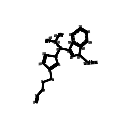 C=CCCCC1=CC(B(C2=CC(CCCCCC)c3ccccc32)N(C(C)C)C(C)C)C=C1